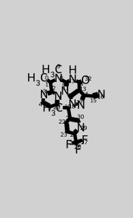 CC(c1ncccn1)N(C)c1nc2c(c(C#N)nn2C(C)c2ccc(C(F)(F)F)nc2)c(=O)[nH]1